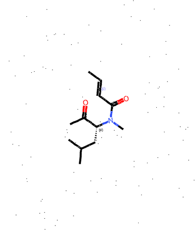 C/C=C/C(=O)N(C)[C@H](CC(C)C)C(C)=O